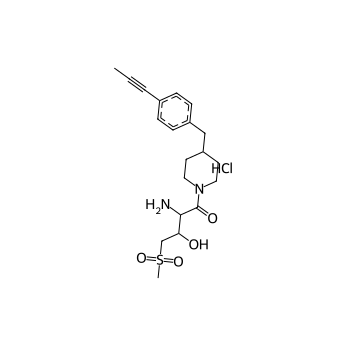 CC#Cc1ccc(CC2CCN(C(=O)C(N)C(O)CS(C)(=O)=O)CC2)cc1.Cl